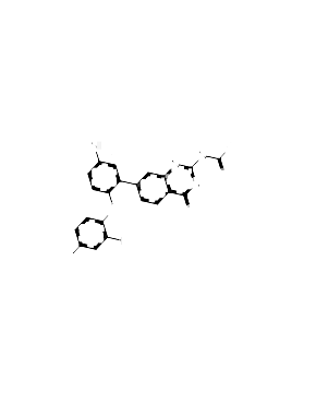 CC(=O)Nc1nc2cc(-c3cc(N)ccc3Oc3ccc(F)cc3F)ccc2c(=O)[nH]1